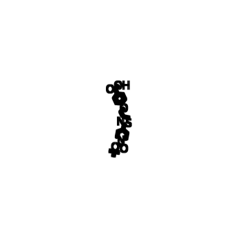 CC(C)(C)OC(=O)N1CCC(C2=NC(COc3ccc(C(=O)O)cc3)CS2)CC1